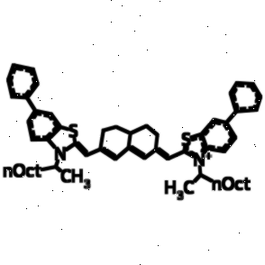 CCCCCCCCC(C)N1/C(=C/C2=CC3=C/C(=C/c4sc5cc(-c6ccccc6)ccc5[n+]4C(C)CCCCCCCC)CCC3CC2)Sc2cc(-c3ccccc3)ccc21